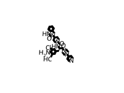 C#Cc1cc(C[C@@H](NC(=O)N2CCC(N3Cc4ccccc4NC3=O)CC2)C(=O)N2CCN(c3ccncc3)CC2)cc(Cl)c1N